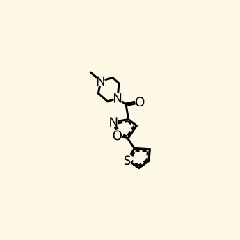 CN1CCN(C(=O)c2cc(-c3cccs3)on2)CC1